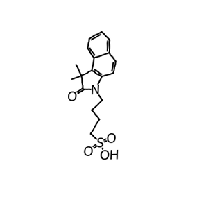 CC1(C)C(=O)N(CCCCS(=O)(=O)O)c2ccc3ccccc3c21